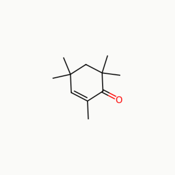 CC1=CC(C)(C)CC(C)(C)C1=O